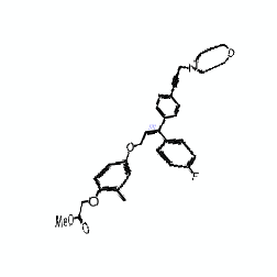 COC(=O)COc1ccc(OC/C=C(\c2ccc(F)cc2)c2ccc(C#CCN3CCOCC3)cc2)cc1C